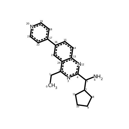 CCc1nc(C(N)C2CCCC2)nc2ccc(-c3ccncc3)cc12